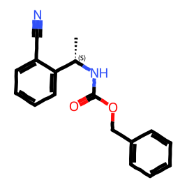 C[C@H](NC(=O)OCc1ccccc1)c1ccccc1C#N